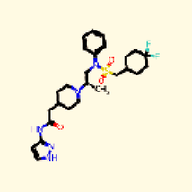 C[C@H](CN(c1ccccc1)S(=O)(=O)CC1CCC(F)(F)CC1)N1CCC(CC(=O)Nc2cc[nH]n2)CC1